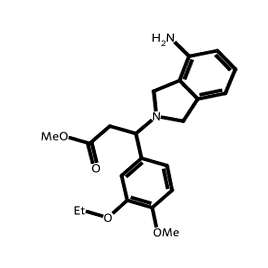 CCOc1cc(C(CC(=O)OC)N2Cc3cccc(N)c3C2)ccc1OC